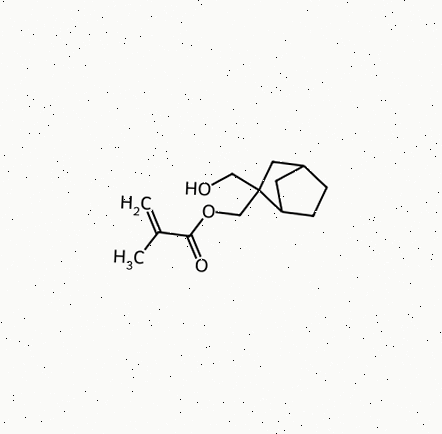 C=C(C)C(=O)OCC1(CO)CC2CCC1C2